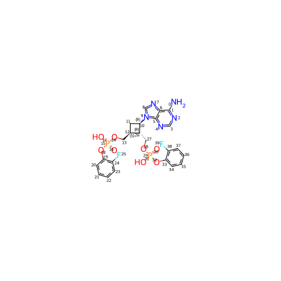 Nc1ncnc2c1ncn2[C@@H]1C[C@H](COP(=O)(O)Oc2ccccc2F)[C@H]1COP(=O)(O)Oc1ccccc1F